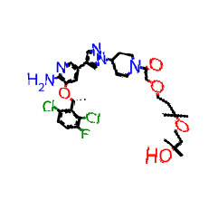 C[C@@H](Oc1cc(-c2cnn(C3CCN(C(=O)COCCC(C)(C)OCCC(C)(C)O)CC3)c2)cnc1N)c1c(Cl)ccc(F)c1Cl